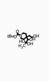 CC(C)(C)OC(=O)N1CCC(CCO)(C(O)C(C)(O)O)CC1